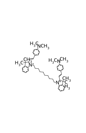 CN(C)c1ccc(/C=C/C2=[N+](CCCCCCCCCC[N+]3=C(/C=C/c4ccc(N(C)C)cc4)C(C)(C)c4ccccc43)c3ccccc3C2(C)C)cc1